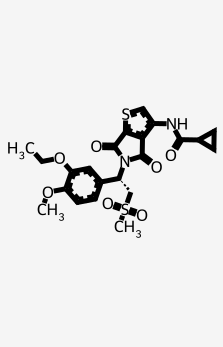 CCOc1cc([C@@H](CS(C)(=O)=O)N2C(=O)c3scc(NC(=O)C4CC4)c3C2=O)ccc1OC